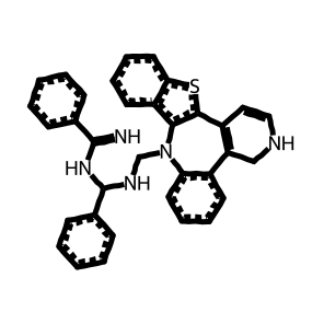 N=C(NC(NCN1c2ccccc2C2=C(C=CNC2)c2sc3ccccc3c21)c1ccccc1)c1ccccc1